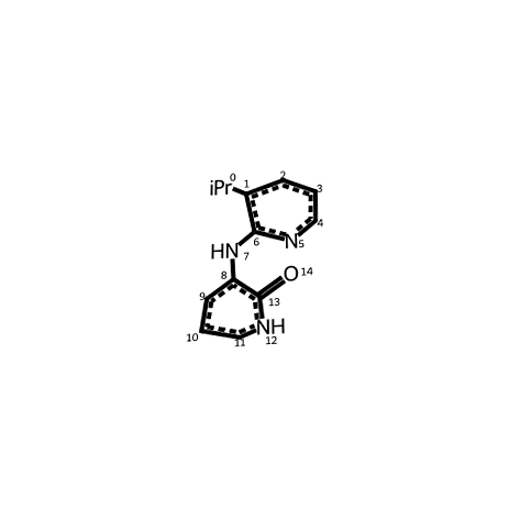 CC(C)c1cccnc1Nc1ccc[nH]c1=O